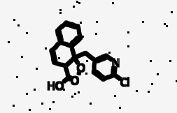 COC1(Cc2ccc(Cl)nc2)c2ccccc2C=CC1C(=O)O